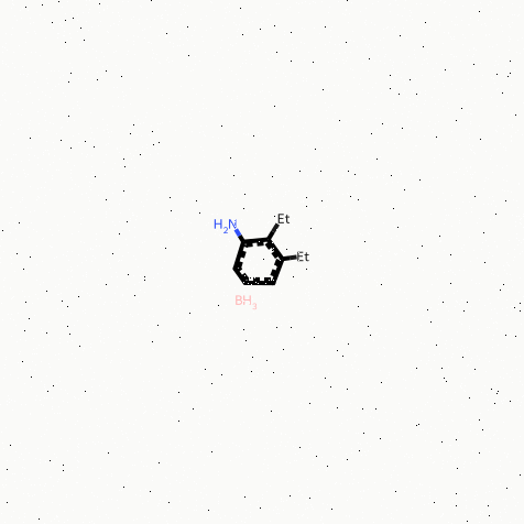 B.CCc1cccc(N)c1CC